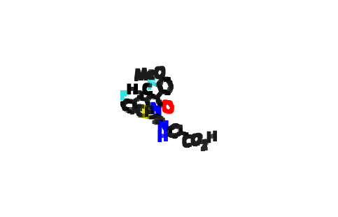 COc1cccc(-c2c(C)c(Cc3c(F)cccc3C(F)(F)F)c3n(c2=O)C(CNc2ccc(CC(=O)O)cc2)CS3)c1F